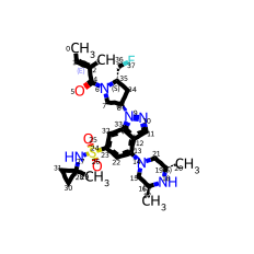 C/C=C(\C)C(=O)N1C[C@H](n2ncc3c(N4C[C@H](C)N[C@@H](C)C4)cc(S(=O)(=O)NC4(C)CC4)cc32)C[C@H]1CF